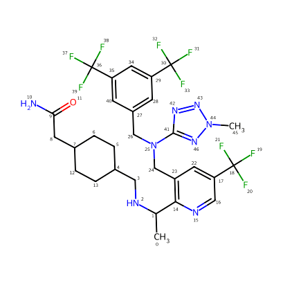 CC(NCC1CCC(CC(N)=O)CC1)c1ncc(C(F)(F)F)cc1CN(Cc1cc(C(F)(F)F)cc(C(F)(F)F)c1)c1nnn(C)n1